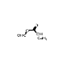 O=COC(=O)O.[CaH2]